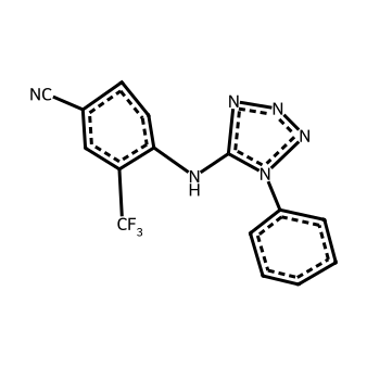 N#Cc1ccc(Nc2nnnn2-c2ccccc2)c(C(F)(F)F)c1